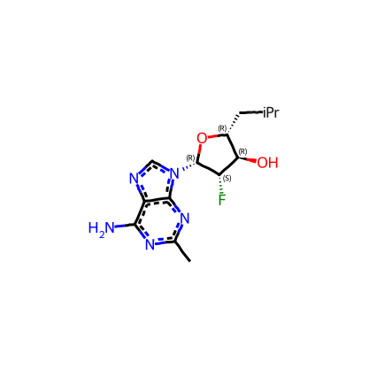 Cc1nc(N)c2ncn([C@@H]3O[C@H](CC(C)C)[C@@H](O)[C@@H]3F)c2n1